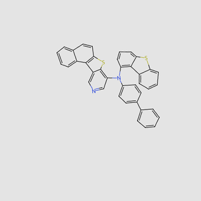 c1ccc(-c2ccc(N(c3cncc4c3sc3ccc5ccccc5c34)c3cccc4sc5ccccc5c34)cc2)cc1